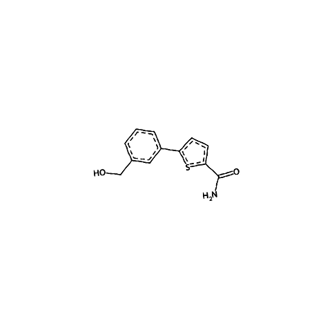 NC(=O)c1ccc(-c2cccc(CO)c2)s1